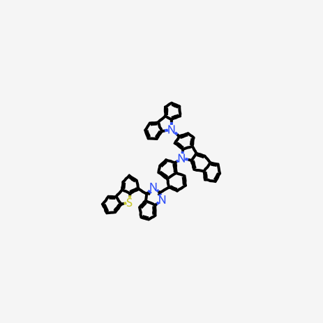 c1ccc2cc3c(cc2c1)c1ccc(-n2c4ccccc4c4ccccc42)cc1n3-c1cccc2c(-c3nc(-c4cccc5c4sc4ccccc45)c4ccccc4n3)cccc12